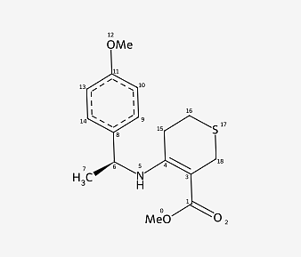 COC(=O)C1=C(N[C@@H](C)c2ccc(OC)cc2)CCSC1